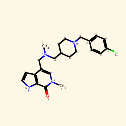 CN(Cc1cn(C)c(=O)c2[nH]ccc12)CC1CCN(Cc2ccc(Cl)cc2)CC1